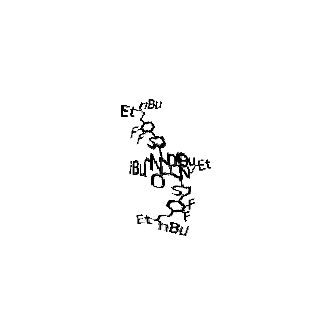 CCCCC(CC)CCc1ccc(-c2ccc(C3=C4C(=O)N(CC(CC)CCCC)C(c5ccc(-c6ccc(CCC(CC)CCCC)c(F)c6F)s5)=C4C(=O)N3CC(C)CC)s2)c(F)c1F